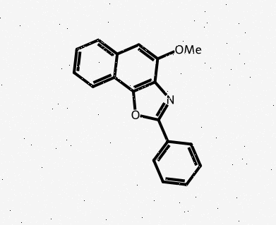 COc1cc2ccccc2c2oc(-c3ccccc3)nc12